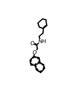 O=C(COc1ccc2ccccc2c1)NCCC1=CCCCC1